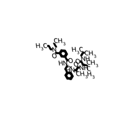 CCCN(CCC)C(=O)c1cccc(C(=O)N[C@H](CN[C@@H](C)C(=O)N[C@H](C(=O)NCC(C)C)C(C)C)Cc2ccccc2)c1